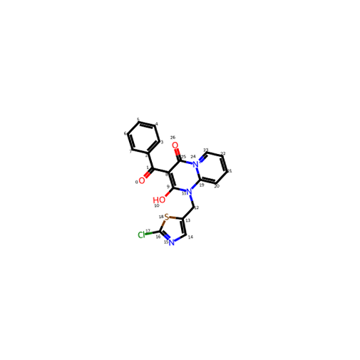 O=C(c1ccccc1)c1c(O)n(Cc2cnc(Cl)s2)c2cccc[n+]2c1=O